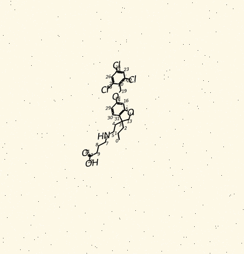 CCCC1(CCNCCCC(=O)O)COc2cc(OCc3c(Cl)cc(Cl)cc3Cl)ccc21